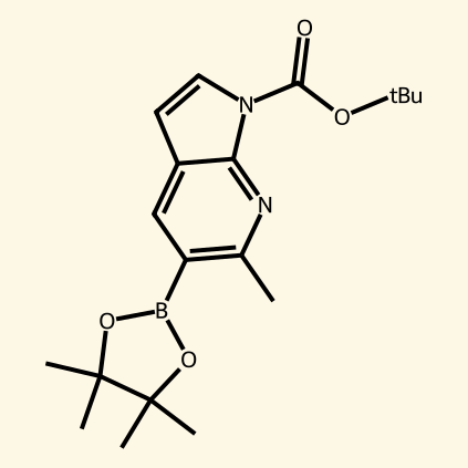 Cc1nc2c(ccn2C(=O)OC(C)(C)C)cc1B1OC(C)(C)C(C)(C)O1